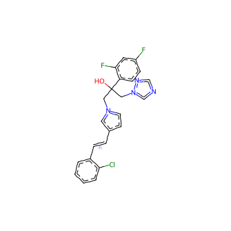 OC(Cn1ccc(/C=C/c2ccccc2Cl)c1)(Cn1cncn1)c1ccc(F)cc1F